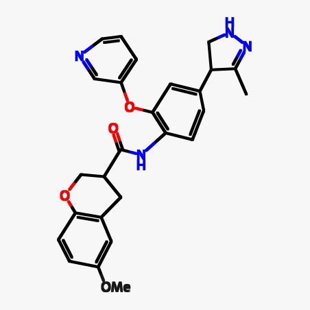 COc1ccc2c(c1)CC(C(=O)Nc1ccc(C3CNN=C3C)cc1Oc1cccnc1)CO2